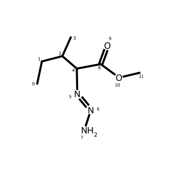 CCC(C)C(N=NN)C(=O)OC